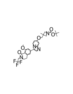 COc1cc(-c2cnc3cc(OCC4(C)CN(C(=O)OC(C)(C)C)C4)ccn23)cc2c1C(=O)N(CC(F)(F)F)CC2